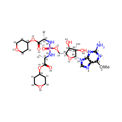 COc1nc(N)nc2c1ncn2[C@@H]1O[C@H](COP(=O)(N[C@@H](C)C(=O)OC2CCOCC2)N[C@@H](C)C(=O)OC2CCOCC2)[C@@H](O)[C@@]1(C)O